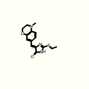 CCSC1=N/C(=C\c2ccc3c(c2)OCCN3C)C(=O)N1